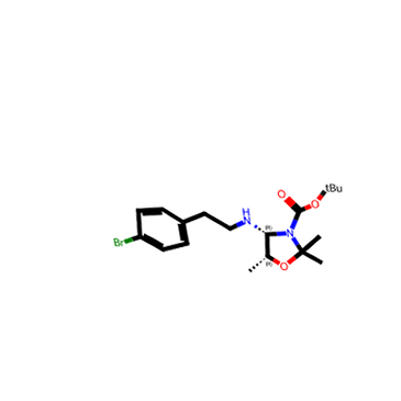 C[C@H]1OC(C)(C)N(C(=O)OC(C)(C)C)[C@H]1NCCc1ccc(Br)cc1